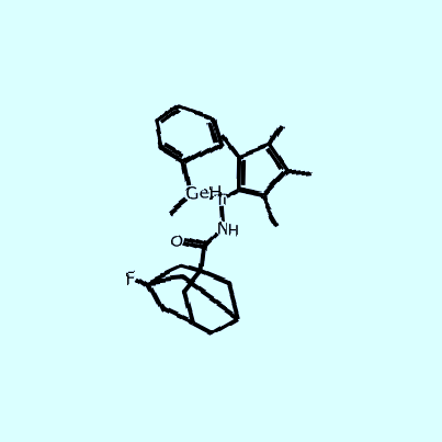 CC1=C(C)C(C)[C]([Ti]([NH]C(=O)C23CC4CC(CC(F)(C4)C2)C3)[GeH]([CH3])[c]2ccccc2)=C1C